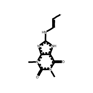 [CH2]C=CNc1nc2c([nH]1)c(=O)n(C)c(=O)n2C